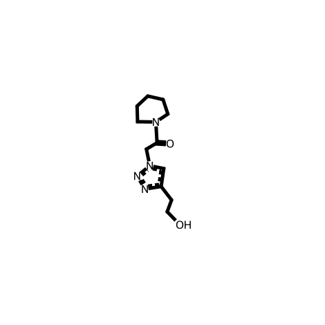 O=C(Cn1cc(CCO)nn1)N1CCCCC1